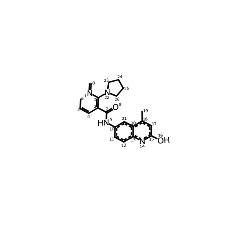 C=N/C(=C(\C=C/C)C(=O)Nc1ccc2nc(O)cc(C)c2c1)N1CCCC1